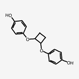 Oc1ccc(OC2CCC2Oc2ccc(O)cc2)cc1